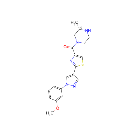 COc1cccc(-n2cc(-c3nc(C(=O)N4CCN[C@@H](C)C4)cs3)cn2)c1